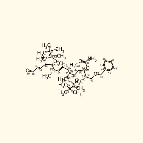 CC(=C[C@H](C)[C@@H](O[Si](C)(C)C(C)(C)C)[C@@H](C)C=CC=O)C[C@H](C)[C@@H](O[Si](C)(C)C(C)(C)C)[C@H](C)[C@@H](OC(N)=O)[C@@H](C)COCc1ccccc1